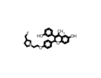 CC1=C(c2cccc(O)c2)C(c2ccc(OCCN3CCC(CF)C3)cc2)Oc2ccc(O)cc21